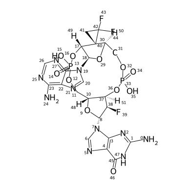 Nc1nc2c(ncn2[C@@H]2O[C@@H]3COP(=O)(O)O[C@H]4[C@H](n5cnc6c(N)ncnc65)O[C@H](COP(=O)(O)O[C@H]3[C@H]2F)[C@]42CC2(F)F)c(=O)[nH]1